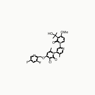 COc1ccn(-c2cc(-n3c(C)cc(OCc4ncc(F)cc4F)c(Cl)c3=O)c(C)cn2)c(=O)c1C(C)(C)O